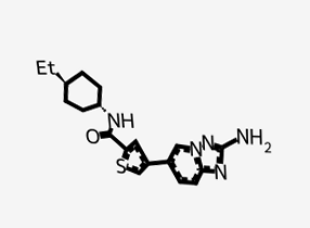 CC[C@H]1CC[C@H](NC(=O)c2cc(-c3ccc4nc(N)nn4c3)cs2)CC1